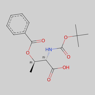 C[C@@H](OC(=O)c1ccccc1)[C@H](NC(=O)OC(C)(C)C)C(=O)O